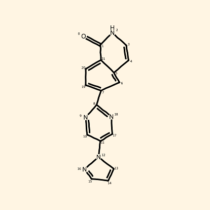 O=c1[nH]ccc2cc(-c3ncc(-n4cccn4)cn3)ccc12